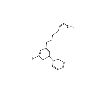 C/C=C\CCCCC1=CC(C2C=CC=CC2)CC(I)=C1